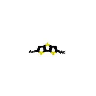 CC(=O)c1cc2sc3cc(C(C)=O)sc3c2s1